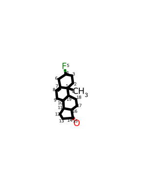 CC12CCC(F)CC1=CCC1C3CCC(=O)C3CCC12